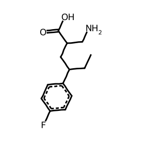 CCC(CC(CN)C(=O)O)c1ccc(F)cc1